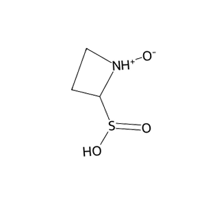 O=S(O)C1CC[NH+]1[O-]